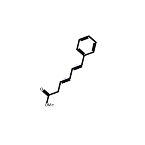 COC(=O)C/C=C/C=C/c1ccccc1